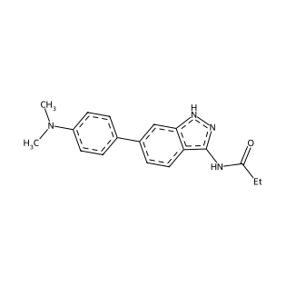 CCC(=O)Nc1n[nH]c2cc(-c3ccc(N(C)C)cc3)ccc12